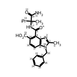 Cc1nc2c(C(=O)NC(C)(C(N)=O)C(C)C)c(C(=O)O)ccc2n1Cc1ccccc1